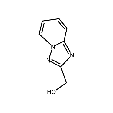 OCc1nc2ccccn2n1